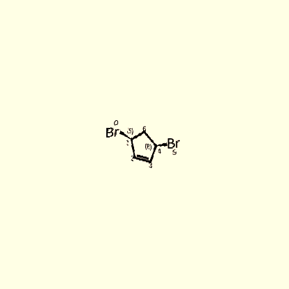 Br[C@@H]1C=C[C@H](Br)C1